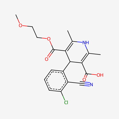 COCCOC(=O)C1=C(C)NC(C)=C(C(=O)O)C1c1cccc(Cl)c1C#N